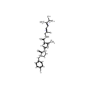 C/C(=C\C=C(/I)CNC(=O)c1sc(N2CCN(Cc3ccc(F)cc3)C2=O)nc1C)C(F)F